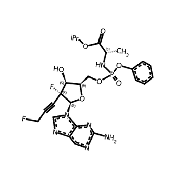 CC(C)OC(=O)[C@H](C)NP(=O)(OC[C@H]1O[C@@H](n2cnc3cnc(N)nc32)[C@@](F)(C#CCF)[C@H]1O)Oc1ccccc1